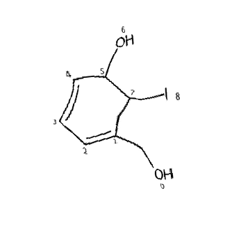 OC1=CC=CC(O)C1I